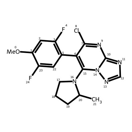 COc1cc(F)c(-c2c(Cl)nc3ncnn3c2N2CCCC2C)cc1F